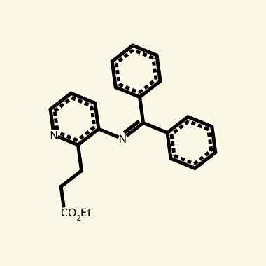 CCOC(=O)CCc1ncccc1N=C(c1ccccc1)c1ccccc1